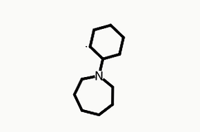 [CH]1CCCCC1N1CCCCCC1